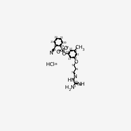 Cc1cc(OCCC=NNC(=N)N)cc(OS(=O)(=O)c2ccccc2C#N)c1.Cl